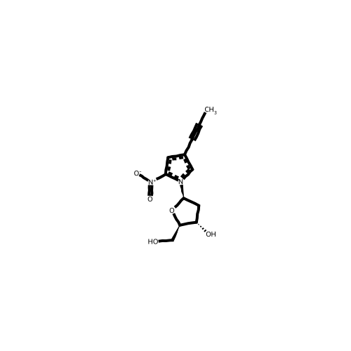 CC#Cc1cc([N+](=O)[O-])n([C@H]2C[C@H](O)[C@@H](CO)O2)c1